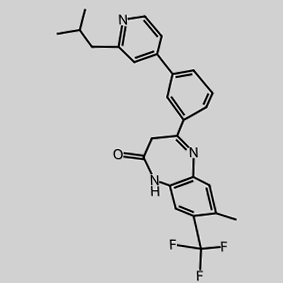 Cc1cc2c(cc1C(F)(F)F)NC(=O)CC(c1cccc(-c3ccnc(CC(C)C)c3)c1)=N2